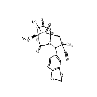 CN1C(=O)[C@@]23C[C@](C)(C#N)C(c4ccc5c(c4)OCO5)N2C(=O)[C@]1(C)SC(=S)S3